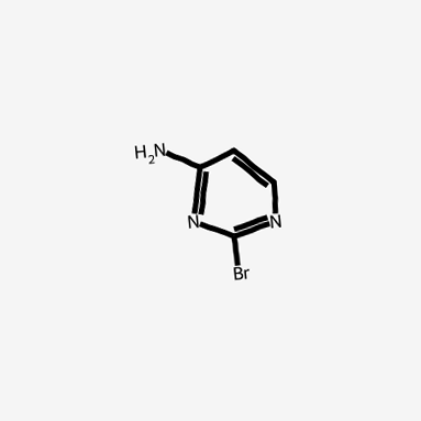 Nc1ccnc(Br)n1